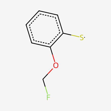 FCOc1ccccc1[S]